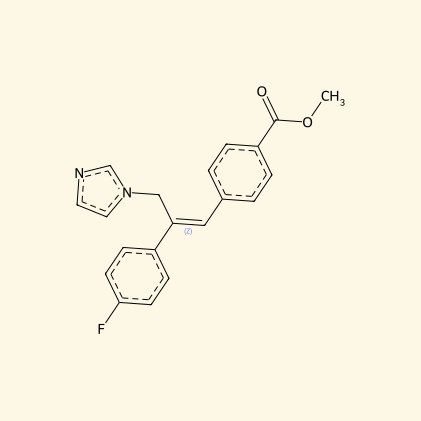 COC(=O)c1ccc(/C=C(\Cn2ccnc2)c2ccc(F)cc2)cc1